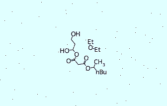 CCCCC(C)OC(=O)CC(=O)OC(O)CCO.CCOCC